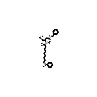 CN(C)CC(CC(=O)OCc1ccccc1)NC(=O)CCCCCCCCN(C)c1ccccc1